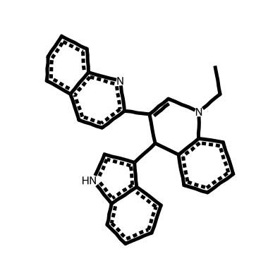 CCN1C=C(c2ccc3ccccc3n2)C(c2c[nH]c3ccccc23)c2ccccc21